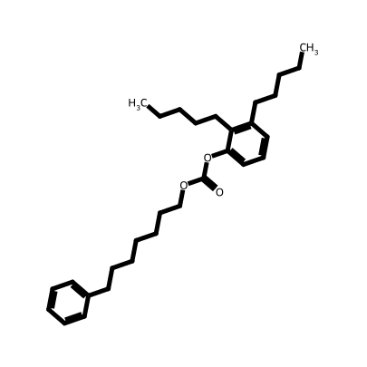 CCCCCc1cccc(OC(=O)OCCCCCCCc2ccccc2)c1CCCCC